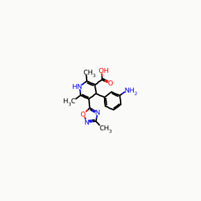 CC1=C(C(=O)O)C(c2cccc(N)c2)C(c2nc(C)no2)=C(C)N1